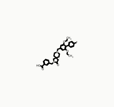 CCOc1cc(CN2CCC3(CC2)CC(=O)N(Cc2cccc(C(=O)O)c2)C3)cc(OCC)c1-c1ccc(F)cc1